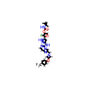 CC1(NC(=O)O[C@@H]2CO[C@H](c3cc(Nc4nccc5nc(CN6CC(Oc7ccc(C(F)(F)F)cc7)C6)cn45)n[nH]3)[C@H]2F)CC1